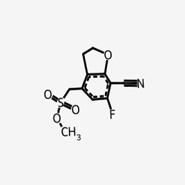 COS(=O)(=O)Cc1cc(F)c(C#N)c2c1CCO2